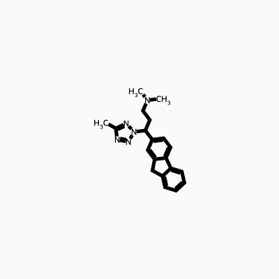 Cc1nnn(C(CCN(C)C)c2ccc3c(c2)Cc2ccccc2-3)n1